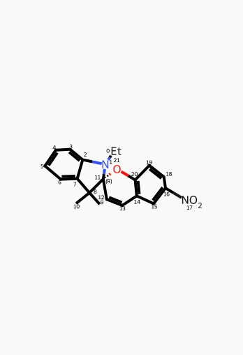 CCN1c2ccccc2C(C)(C)[C@]12C=Cc1cc([N+](=O)[O-])ccc1O2